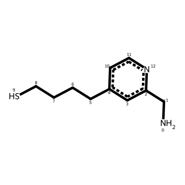 N[C]c1cc(CCCCS)ccn1